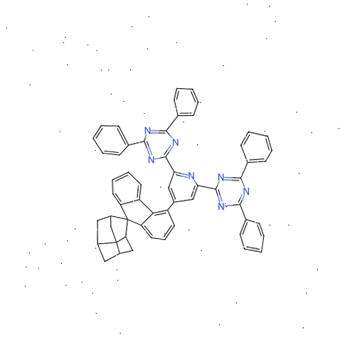 c1ccc(-c2nc(-c3ccccc3)nc(-c3cc(-c4cccc5c4-c4ccccc4C54C5CC6CC7CC4C67C5)cc(-c4nc(-c5ccccc5)nc(-c5ccccc5)n4)n3)n2)cc1